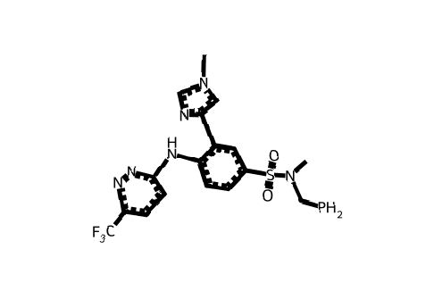 CN(CP)S(=O)(=O)c1ccc(Nc2ccc(C(F)(F)F)nn2)c(-c2cn(C)cn2)c1